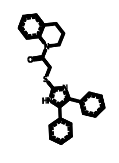 O=C(CSc1nc(-c2ccccc2)c(-c2ccccc2)[nH]1)N1CCCc2ccccc21